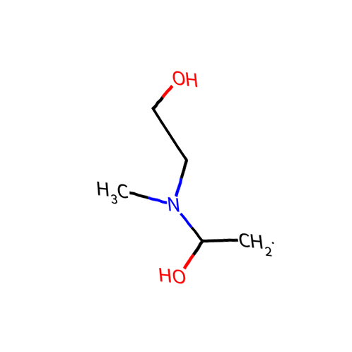 [CH2]C(O)N(C)CCO